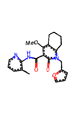 COc1c2c(n(Cc3ccco3)c(=O)c1C(=O)Nc1ncccc1C)CCCC2